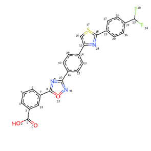 O=C(O)c1cccc(-c2nc(-c3ccc(-c4csc(-c5ccc(C(F)F)cc5)n4)cc3)no2)c1